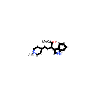 COC(=O)C(CCC1CCN(C(C)=O)CC1)c1c[nH]c2ccccc12